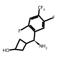 N[C@H](c1cc(F)c(C(F)(F)F)cc1F)C1CC(O)C1